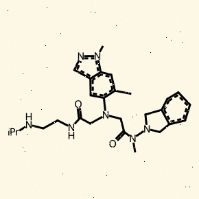 Cc1cc2c(cnn2C)cc1N(CC(=O)NCCNC(C)C)CC(=O)N(C)N1Cc2ccccc2C1